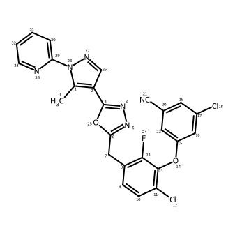 Cc1c(-c2nnc(Cc3ccc(Cl)c(Oc4cc(Cl)cc(C#N)c4)c3F)o2)cnn1-c1ccccn1